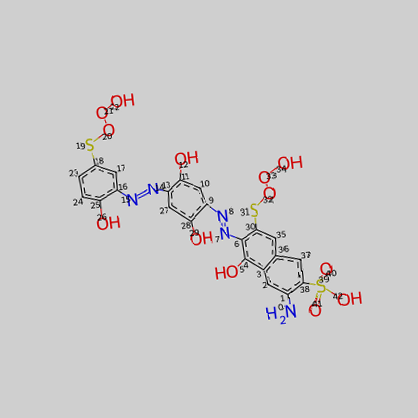 Nc1cc2c(O)c(N=Nc3cc(O)c(N=Nc4cc(SOOO)ccc4O)cc3O)c(SOOO)cc2cc1S(=O)(=O)O